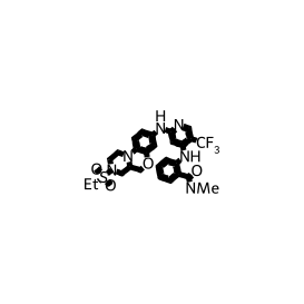 CCS(=O)(=O)N1CCN2c3ccc(Nc4cc(Nc5ccccc5C(=O)NC)c(C(F)(F)F)cn4)cc3OCC2C1